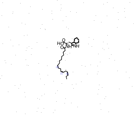 CC/C=C\C/C=C\C/C=C\CCCCCCCC(=O)N[C@@H](Cc1c[nH]c2ccccc12)C(=O)O